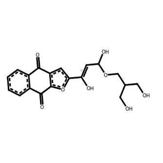 O=C1c2ccccc2C(=O)c2oc(/C(O)=C/C(O)OCC(CO)CO)cc21